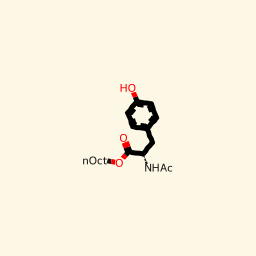 CCCCCCCCOC(=O)[C@H](Cc1ccc(O)cc1)NC(C)=O